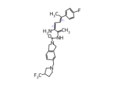 C=C(NC(=O)N1Cc2ccc(CN3CCC(C(F)(F)F)C3)cc2C1)/C(N)=C\C=C(/C)c1ccc(F)cc1